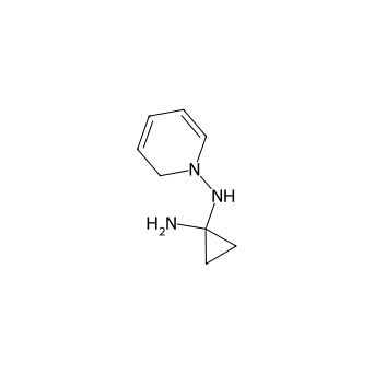 NC1(NN2C=CC=CC2)CC1